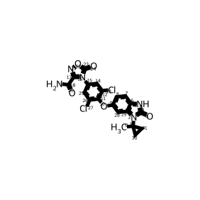 CC1(n2c(=O)[nH]c3ccc(Oc4c(Cl)cc(-n5c(C(N)=O)noc5=O)cc4Cl)cc32)CC1